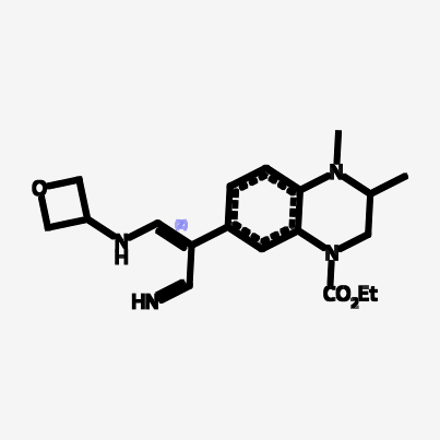 CCOC(=O)N1CC(C)N(C)c2ccc(/C(C=N)=C/NC3COC3)cc21